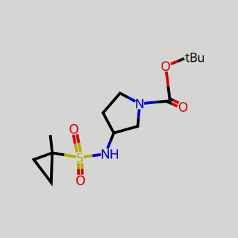 CC(C)(C)OC(=O)N1CCC(NS(=O)(=O)C2(C)CC2)C1